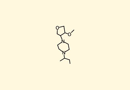 CCC(C)N1CCN(C2COCC2OC)CC1